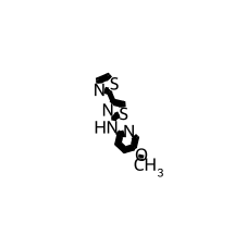 COc1ccc(Nc2nc(-c3nccs3)cs2)nc1